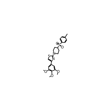 COc1cc(-c2csc(N3CCC(S(=O)(=O)c4ccc(C)cc4)CC3)n2)cc(OC)c1OC